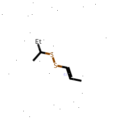 C/C=C/SSC(C)CC